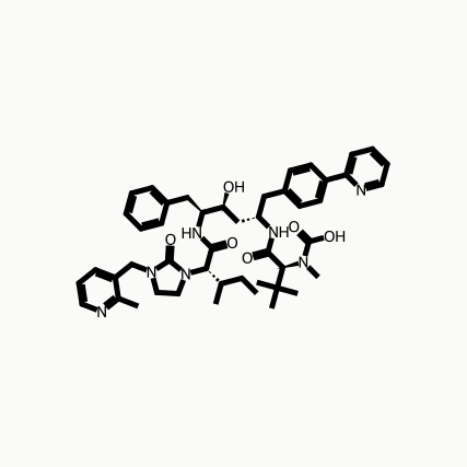 CCC(C)[C@@H](C(=O)N[C@@H](Cc1ccccc1)[C@@H](O)C[C@H](Cc1ccc(-c2ccccn2)cc1)NC(=O)[C@@H](N(C)C(=O)O)C(C)(C)C)N1CCN(Cc2cccnc2C)C1=O